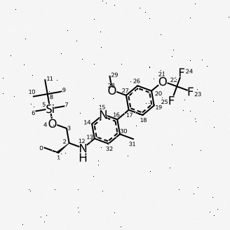 CC[C@@H](CO[Si](C)(C)C(C)(C)C)Nc1cnc(-c2ccc(OC(F)(F)F)cc2OC)c(C)c1